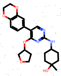 CC1(O)CCC(Nc2ncc(-c3ccc4c(c3)OCCO4)c(OC3CCOC3)n2)CC1